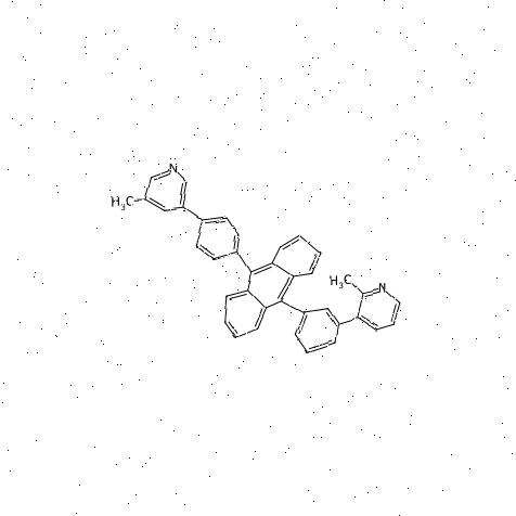 Cc1cncc(-c2ccc(-c3c4ccccc4c(-c4cccc(-c5cccnc5C)c4)c4ccccc34)cc2)c1